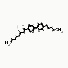 CCCC[CH]C(F)CC(C)c1ccc(-c2ccc(CCCCC)cc2)cc1